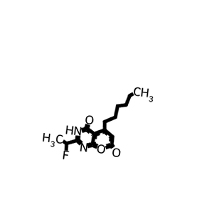 CCCCCCc1cc(=O)oc2nc(C(C)F)[nH]c(=O)c12